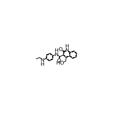 CCNc1ccc(NC(=O)c2c(CO)c3ccccc3[nH]c2=O)cc1